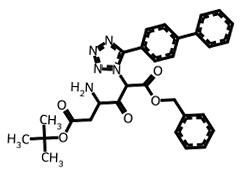 CC(C)(C)OC(=O)CC(N)C(=O)C(C(=O)OCc1ccccc1)n1nnnc1-c1ccc(-c2ccccc2)cc1